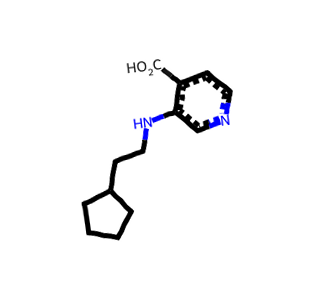 O=C(O)c1ccncc1NCCC1CCCC1